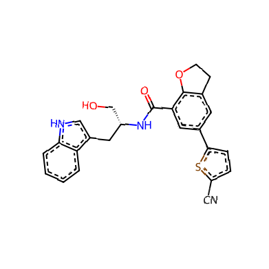 N#Cc1ccc(-c2cc3c(c(C(=O)N[C@@H](CO)Cc4c[nH]c5ccccc45)c2)OCC3)s1